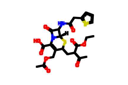 CCOC(=O)C(CC1S[C@H]2C(NC(=O)Cc3cccs3)C(=O)N2C(C(=O)O)=C1COC(C)=O)C(C)=O